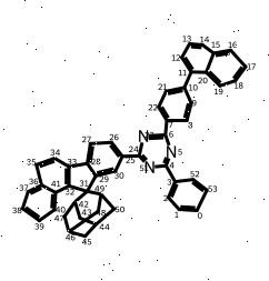 c1ccc(-c2nc(-c3ccc(-c4cccc5ccccc45)cc3)nc(-c3ccc4c(c3)C3(c5c-4ccc4ccccc54)C4CC5CC(C4)CC3C5)n2)cc1